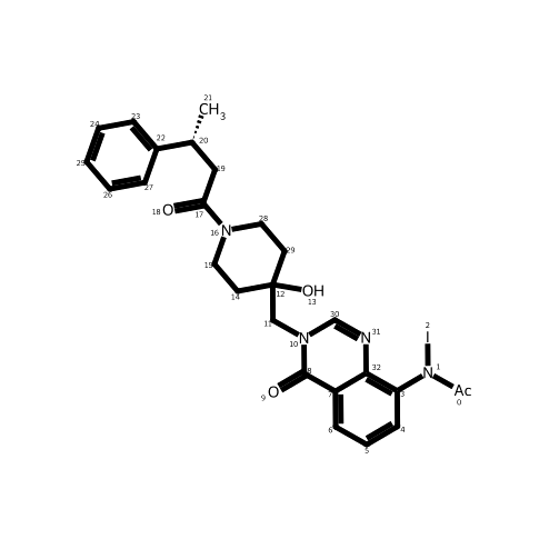 CC(=O)N(I)c1cccc2c(=O)n(CC3(O)CCN(C(=O)C[C@@H](C)c4ccccc4)CC3)cnc12